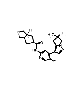 CC1(C)Cc2c(-c3cc(NC(=O)C4CC5CNC[C@H]5C4)ncc3Cl)cnn2C1